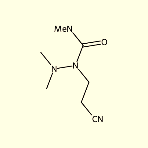 CNC(=O)N(CCC#N)N(C)C